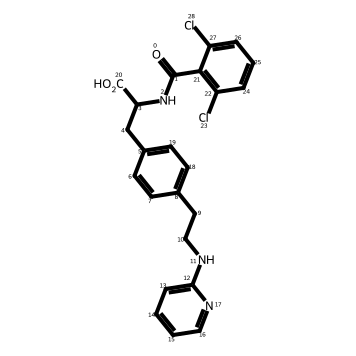 O=C(NC(Cc1ccc(CCNc2ccccn2)cc1)C(=O)O)c1c(Cl)cccc1Cl